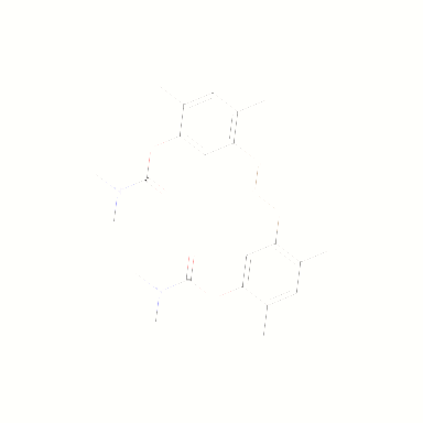 Cc1cc(C)c(SSSc2cc(OC(=O)N(C)C)c(C)cc2C)cc1OC(=O)N(C)C